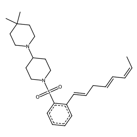 C/C=C\C=CC/C=C/c1ccccc1S(=O)(=O)N1CCC(N2CCC(C)(C)CC2)CC1